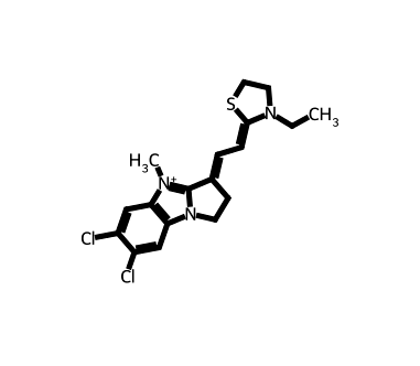 CCN1CCSC1=CC=C1CCn2c1[n+](C)c1cc(Cl)c(Cl)cc12